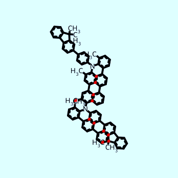 Cc1cc(-c2ccc(N(c3ccc(-c4ccc5c(c4)C(C)(C)c4ccccc4-5)cc3)c3c(C)cccc3-c3ccc(-c4ccccc4)cc3)c(C)c2)ccc1N(c1ccc(-c2ccc3c(c2)C(C)(C)c2ccccc2-3)cc1)c1c(C)cccc1-c1ccc(-c2ccccc2)cc1